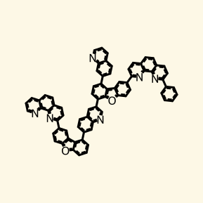 c1ccc(-c2ccc3ccc4ccc(-c5ccc6oc7c(-c8cnc9cc(-c%10cccc%11oc%12ccc(-c%13ccc%14ccc%15cccnc%15c%14n%13)cc%12c%10%11)ccc9c8)ccc(-c8ccc9cccnc9c8)c7c6c5)nc4c3n2)cc1